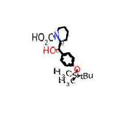 CC(C)(C)[Si](C)(C)Oc1ccc([C@H](O)[C@@H]2CCCCN2C(=O)O)cc1